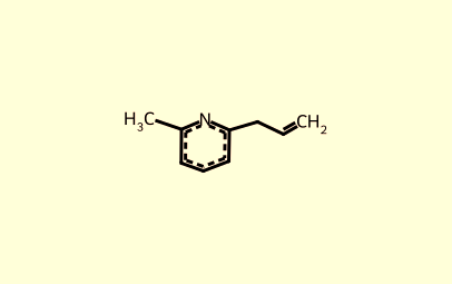 C=CCc1cccc(C)n1